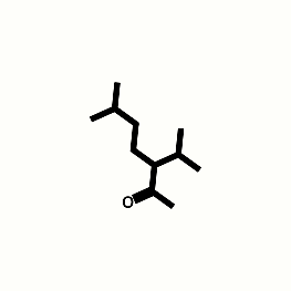 CC(=O)C(CCC(C)C)C(C)C